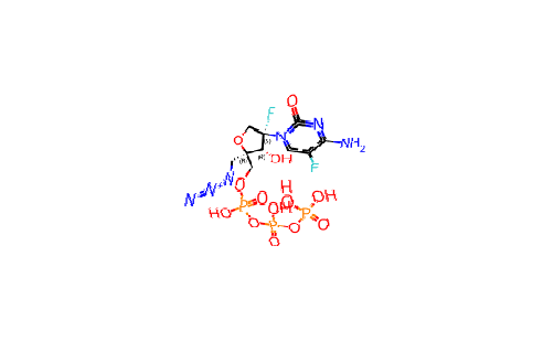 [N-]=[N+]=NC[C@]1(COP(=O)(O)OP(=O)(O)OP(=O)(O)O)OC[C@@](F)(n2cc(F)c(N)nc2=O)[C@@H]1O